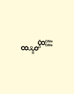 COc1cc2nccc(Oc3ccc(NC(=O)Cc4ccc5ccccc5c4)cc3)c2cc1OC